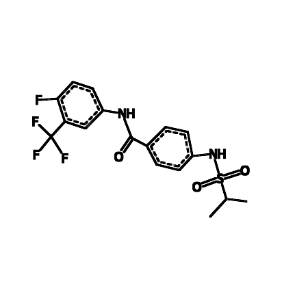 CC(C)S(=O)(=O)Nc1ccc(C(=O)Nc2ccc(F)c(C(F)(F)F)c2)cc1